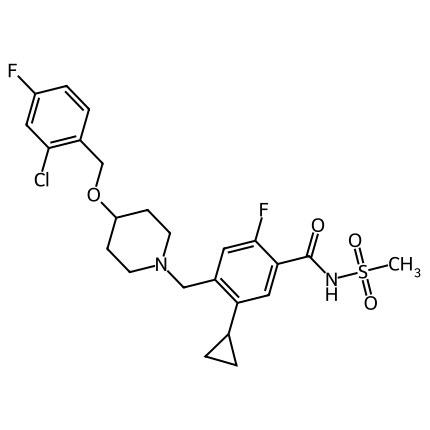 CS(=O)(=O)NC(=O)c1cc(C2CC2)c(CN2CCC(OCc3ccc(F)cc3Cl)CC2)cc1F